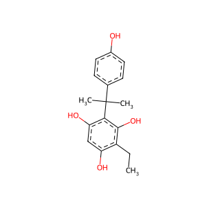 CCc1c(O)cc(O)c(C(C)(C)c2ccc(O)cc2)c1O